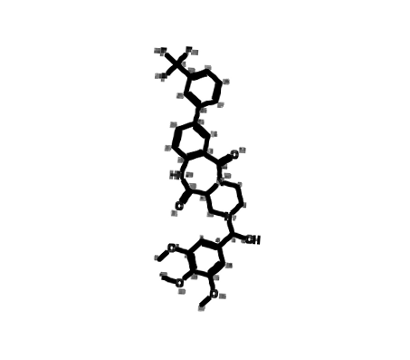 COc1cc(C(O)N2CCN3C(=O)c4cc(-c5cccc(C(F)(F)F)c5)ccc4NC(=O)C3C2)cc(OC)c1OC